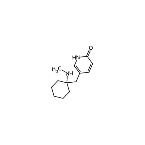 CNC1(Cc2ccc(=O)[nH]c2)CCCCC1